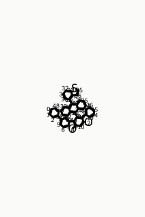 c1ccc(-c2ccc3oc4cc5oc6ccccc6c5c(-c5c6ccccc6c(-c6cccc7sccc67)c6ccccc56)c4c3c2)cc1